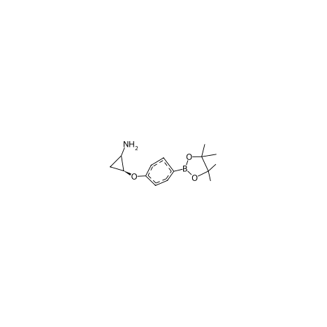 CC1(C)OB(c2ccc(O[C@H]3CC3N)cc2)OC1(C)C